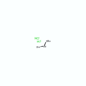 C[C](C)(C)[Zr][C](C)(C)C.Cl.Cl